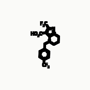 O=C(O)c1c(C(F)(F)F)nn2c1N(Cc1ccc(C(F)(F)F)cc1)CCC2